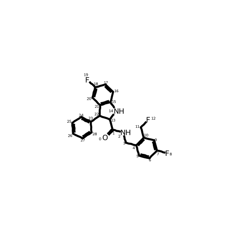 O=C(NCc1ccc(F)cc1CF)C1Nc2ccc(F)cc2C1c1ccccc1